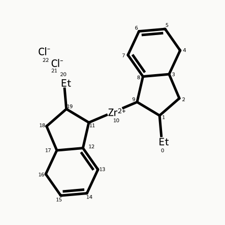 CCC1CC2CC=CC=C2[CH]1[Zr+2][CH]1C2=CC=CCC2CC1CC.[Cl-].[Cl-]